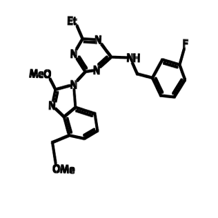 CCc1nc(NCc2cccc(F)c2)nc(-n2c(OC)nc3c(COC)cccc32)n1